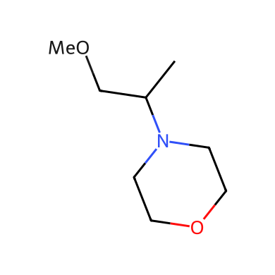 COCC(C)N1CCOCC1